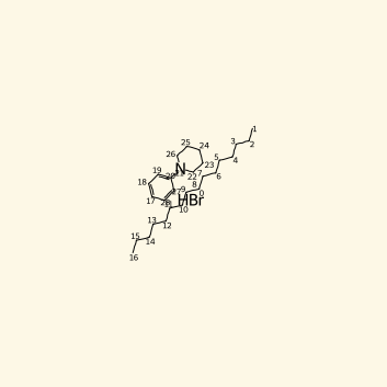 Br.CCCCCCCCCCCCCCCC.c1ccc(N2CCCCC2)cc1